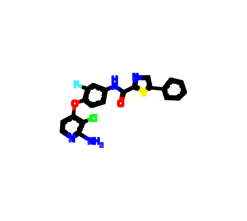 Nc1nccc(Oc2ccc(NC(=O)c3ncc(-c4ccccc4)s3)cc2F)c1Cl